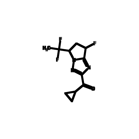 CC(F)(F)C1CC(F)c2nc(C(=O)C3CC3)nn21